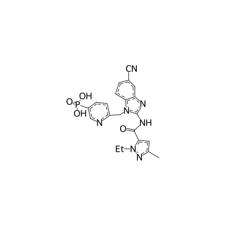 CCn1nc(C)cc1C(=O)Nc1nc2cc(C#N)ccc2n1Cc1ccc(P(=O)(O)O)cn1